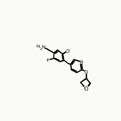 Nc1cc(Cl)c(-c2ccc(OC3COC3)nc2)cc1F